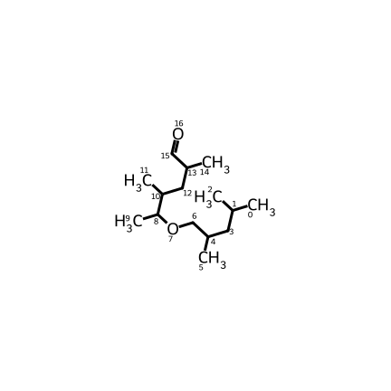 CC(C)CC(C)COC(C)C(C)CC(C)C=O